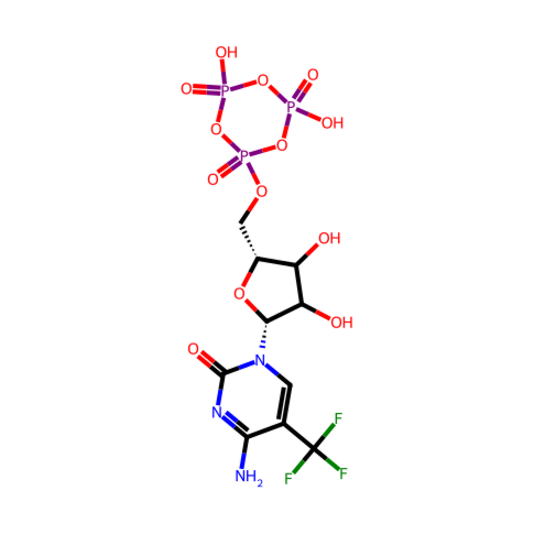 Nc1nc(=O)n([C@@H]2O[C@H](COP3(=O)OP(=O)(O)OP(=O)(O)O3)C(O)C2O)cc1C(F)(F)F